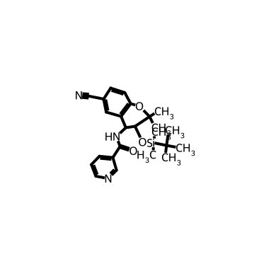 CC1(C)Oc2ccc(C#N)cc2C(NC(=O)c2cccnc2)C1O[Si](C)(C)C(C)(C)C